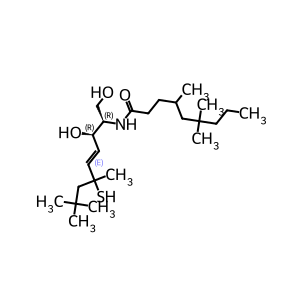 CCCC(C)(C)CC(C)CCC(=O)N[C@H](CO)[C@H](O)/C=C/C(C)(S)CC(C)(C)C